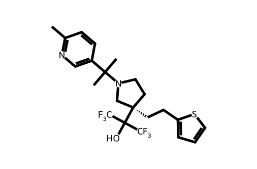 Cc1ccc(C(C)(C)N2CC[C@@](CCc3cccs3)(C(O)(C(F)(F)F)C(F)(F)F)C2)cn1